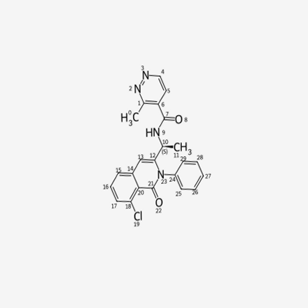 Cc1nnccc1C(=O)N[C@@H](C)c1cc2cccc(Cl)c2c(=O)n1-c1ccccc1